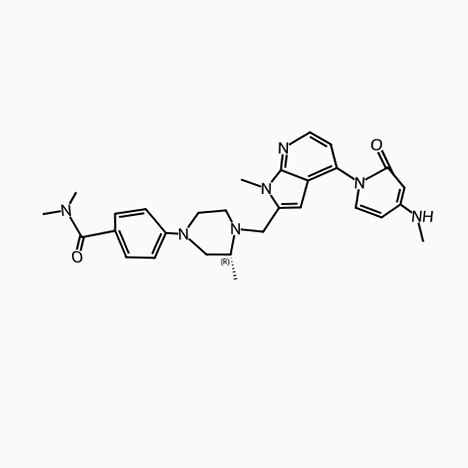 CNc1ccn(-c2ccnc3c2cc(CN2CCN(c4ccc(C(=O)N(C)C)cc4)C[C@H]2C)n3C)c(=O)c1